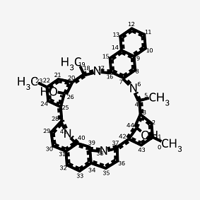 Cc1cc2c(C)nc3cc4ccccc4cc3nc(C)c3cc(C)cc(c3O)c3ccc4ccc5ccc(nc5c4n3)c(c1)c2O